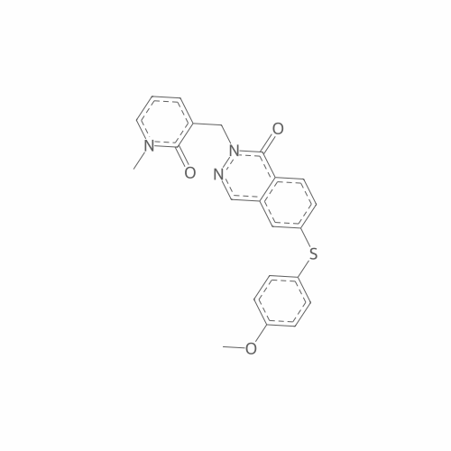 COc1ccc(Sc2ccc3c(=O)n(Cc4cccn(C)c4=O)ncc3c2)cc1